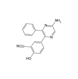 N#Cc1cc(-c2ncc(N)nc2-c2ccccc2)ccc1O